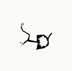 Cc1cccc(C(N)CCS)c1